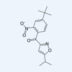 CC(C)c1cc(C(=O)c2ccc(C(C)(C)C)cc2[N+](=O)[O-])no1